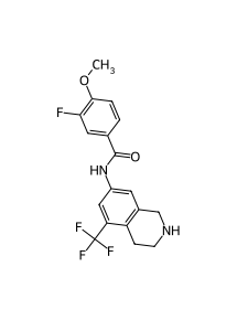 COc1ccc(C(=O)Nc2cc3c(c(C(F)(F)F)c2)CCNC3)cc1F